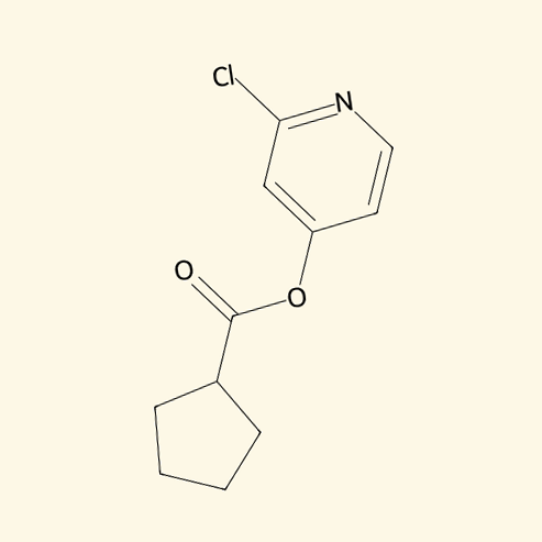 O=C(Oc1ccnc(Cl)c1)C1CCCC1